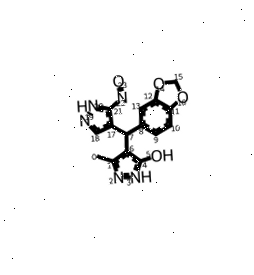 Cc1n[nH]c(O)c1C(c1ccc2c(c1)OCO2)c1cn[nH]c1N=O